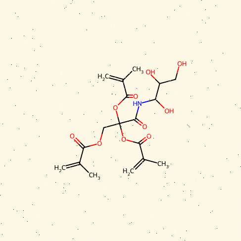 C=C(C)C(=O)OCC(OC(=O)C(=C)C)(OC(=O)C(=C)C)C(=O)NC(O)C(O)CO